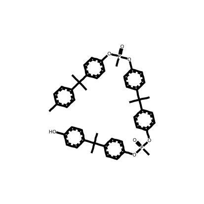 Cc1ccc(C(C)(C)c2ccc(OP(C)(=O)Oc3ccc(C(C)(C)c4ccc(OP(C)(=O)Oc5ccc(C(C)(C)c6ccc(O)cc6)cc5)cc4)cc3)cc2)cc1